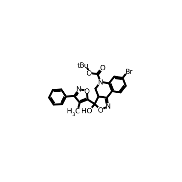 Cc1c(-c2ccccc2)noc1C1(O)ON=C2c3ccc(Br)cc3N(C(=O)OC(C)(C)C)CC21